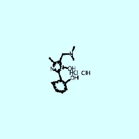 Cc1nc(-c2ccccc2O)n(O)c1CN(C)C.Cl.Cl